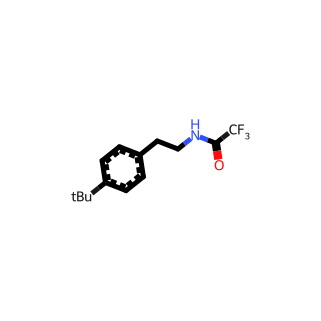 CC(C)(C)c1ccc(CCNC(=O)C(F)(F)F)cc1